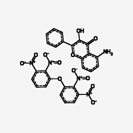 Nc1cccc2oc(-c3ccccc3)c(O)c(=O)c12.O=[N+]([O-])c1cccc(Oc2cccc([N+](=O)[O-])c2[N+](=O)[O-])c1[N+](=O)[O-]